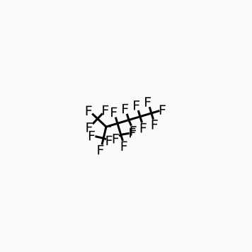 FC(F)(F)[C](C(F)(F)F)C(F)(C(F)(F)F)C(F)(F)C(F)(F)C(F)(F)F